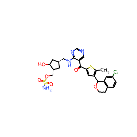 Cc1sc(C(=O)c2cncnc2NC[C@@H]2C[C@H](COS(N)(=O)=O)[C@@H](O)C2)cc1C1OCCc2ccc(Cl)cc21